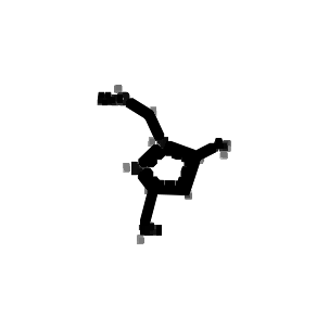 COCn1nc(C(C)(C)C)cc1C(C)=O